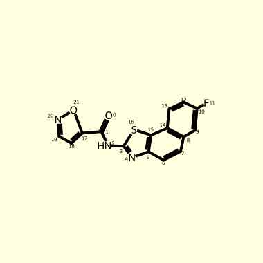 O=C(Nc1nc2ccc3cc(F)ccc3c2s1)c1ccno1